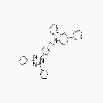 c1ccc(-c2ccc3c(c2)c2ccccc2n3CCc2ccc(-c3nc(-c4ccccc4)nc(-c4ccccc4)n3)cc2)cc1